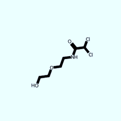 O=C(NCCOCCO)C(Cl)Cl